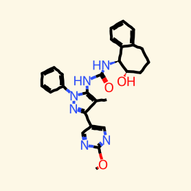 COc1ncc(-c2nn(-c3ccccc3)c(NC(=O)N[C@H]3c4ccccc4CCC[C@@H]3O)c2C)cn1